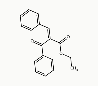 CCOC(=O)/C(=C/c1ccccc1)C(=O)c1ccccc1